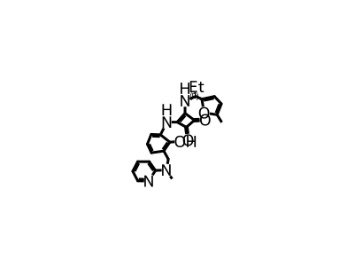 CC[C@@H](Nc1c(Nc2cccc(CN(C)c3ccccn3)c2O)c(=O)c1=O)c1ccc(C)o1